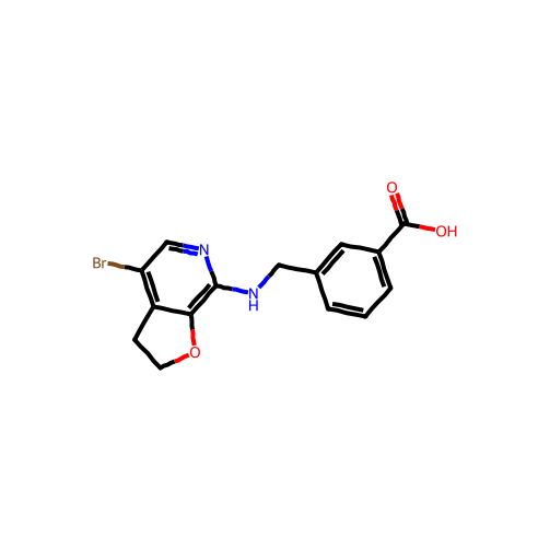 O=C(O)c1cccc(CNc2ncc(Br)c3c2OCC3)c1